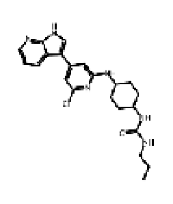 CCCNC(=O)NC1CCC(Nc2cc(-c3c[nH]c4ncccc34)cc(Cl)n2)CC1